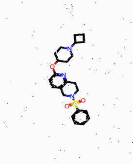 O=S(=O)(c1ccccc1)N1CCc2nc(OC3CCN(C4CCC4)CC3)ccc2C1